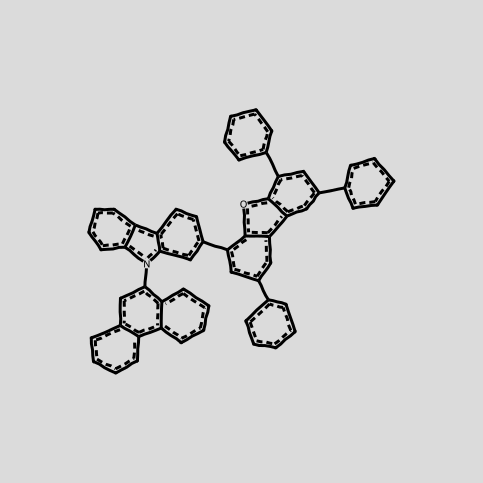 c1ccc(-c2cc(-c3ccccc3)c3oc4c(-c5ccc6c7ccccc7n(-c7cc8ccccc8c8ccccc78)c6c5)cc(-c5ccccc5)cc4c3c2)cc1